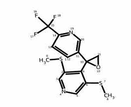 CSc1cncc(SC)c1C1(c2ccc(C(F)(F)F)nc2)CO1